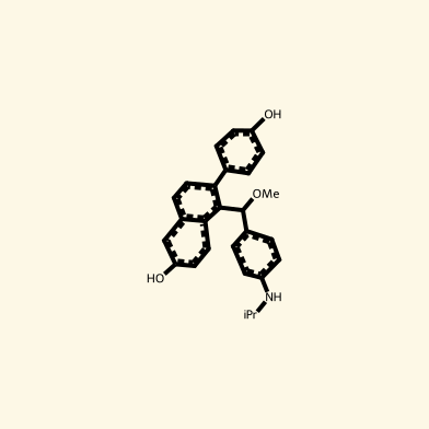 COC(c1ccc(NC(C)C)cc1)c1c(-c2ccc(O)cc2)ccc2cc(O)ccc12